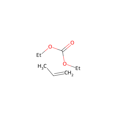 C=CC.CCOC(=O)OCC